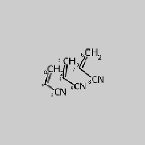 C=CC#N.C=CC#N.C=CC#N